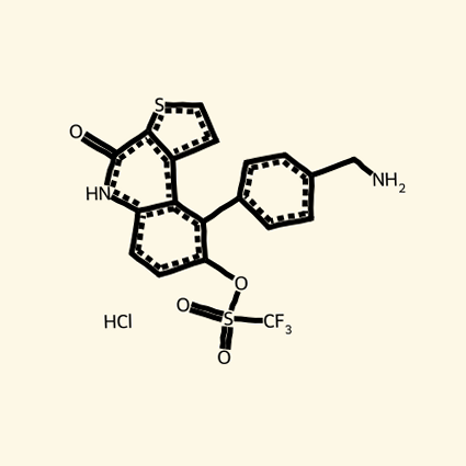 Cl.NCc1ccc(-c2c(OS(=O)(=O)C(F)(F)F)ccc3[nH]c(=O)c4sccc4c23)cc1